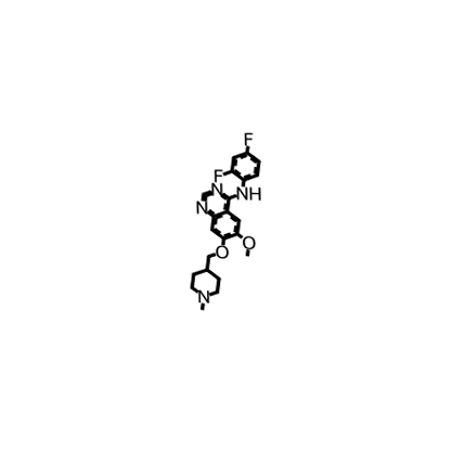 COc1cc2c(Nc3ccc(F)cc3F)ncnc2cc1OCC1CCN(C)CC1